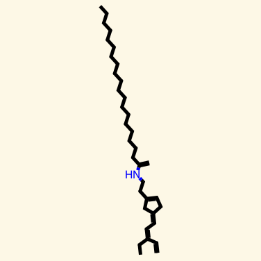 C=C/C(=C\C=C1\CC=C(CCNC(=C)CCCCCCCCCCCCCCCCCCC)C1)CC